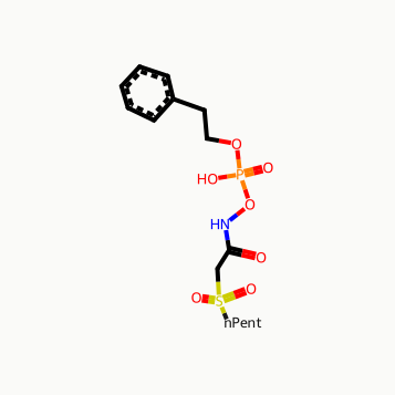 CCCCCS(=O)(=O)CC(=O)NOP(=O)(O)OCCc1ccccc1